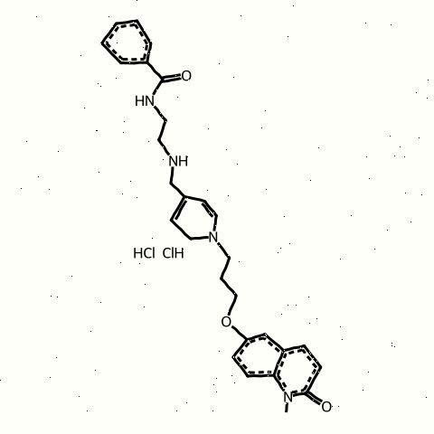 Cl.Cl.Cn1c(=O)ccc2cc(OCCCN3C=CC(CNCCNC(=O)c4ccccc4)=CC3)ccc21